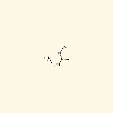 CC(C)NN(C)/N=C\N